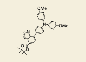 COc1ccc(N(c2ccc(OC)cc2)c2ccc(-c3ccc(B4OC(C)(C)C(C)(C)O4)c4nsnc34)cc2)cc1